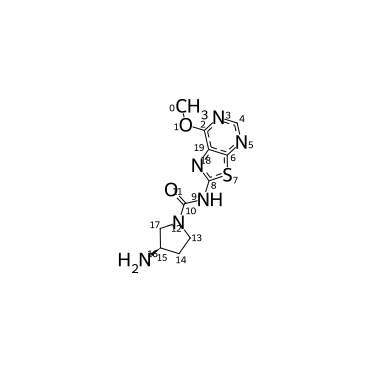 COc1ncnc2sc(NC(=O)N3CC[C@@H](N)C3)nc12